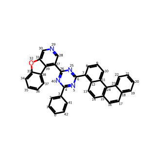 c1ccc(-c2nc(-c3cccc4c3ccc3ccc5ccccc5c34)nc(-c3cncc4oc5ccccc5c34)n2)cc1